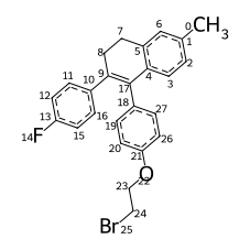 Cc1ccc2c(c1)CCC(c1ccc(F)cc1)=C2c1ccc(OCCBr)cc1